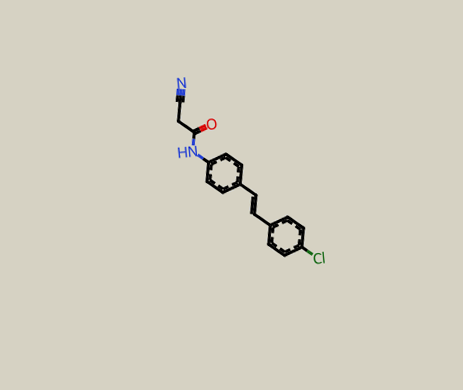 N#CCC(=O)Nc1ccc(C=Cc2ccc(Cl)cc2)cc1